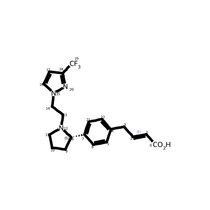 O=C(O)/C=C/Cc1ccc([C@@H]2CCCN2CCn2ccc(C(F)(F)F)n2)cc1